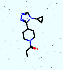 CCC(=O)N1CCC(c2nncn2C2CC2)CC1